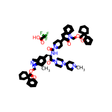 Cc1cc(C[C@@H](NC(=O)N2CCC(c3cc4ccccc4n(COC(=O)C4(c5ccccc5)CCCCC4)c3=O)CC2)C(=O)N2CCN(C3CCN(C)CC3)CC2)cc2cnn(COC(=O)C3(c4ccccc4)CCCCC3)c12.O=C(O)C(F)(F)F